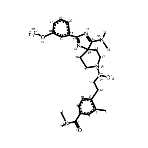 Cc1cc(C(=O)N(C)C)ccc1CC[S+]([O-])N1CCC2(CC1)N=C(c1cccc(OC(F)(F)F)c1)N=C2N(C)C